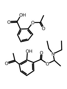 CC(=O)Oc1ccccc1C(=O)O.CCN(CC)C(C)OC(=O)c1cccc(C(C)=O)c1O